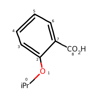 CC(C)Oc1cc[c]cc1C(=O)O